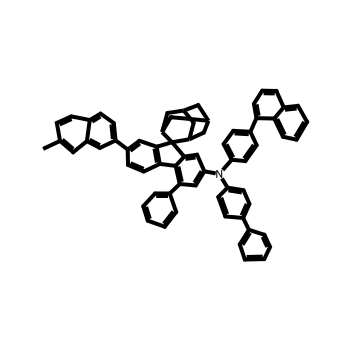 Cc1ccc2ccc(-c3ccc4c(c3)C3(c5cc(N(c6ccc(-c7ccccc7)cc6)c6ccc(-c7cccc8ccccc78)cc6)cc(-c6ccccc6)c5-4)C4CC5CC(C4)CC3C5)cc2c1